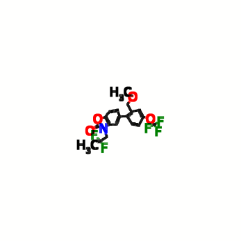 COCc1cc(OC(F)(F)F)ccc1-c1ccc2oc(=O)n(CC(C)(F)F)c2c1